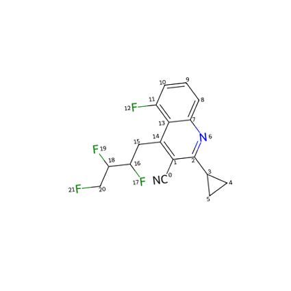 N#Cc1c(C2CC2)nc2cccc(F)c2c1CC(F)C(F)CF